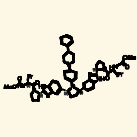 COC(=O)NC(C(=O)N1CCC[C@H]1c1nc2cc([C@H]3CC[C@H](c4ccc5[nH]c([C@@H]6CCCN6C(=O)[C@@H](NC(=O)OC)C(C)C)nc5c4)N3c3ccc(N4CCC(c5ccccc5)CC4)cc3)ccc2[nH]1)C(C)C